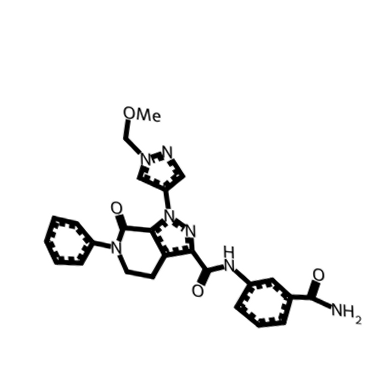 COCn1cc(-n2nc(C(=O)Nc3cccc(C(N)=O)c3)c3c2C(=O)N(c2ccccc2)CC3)cn1